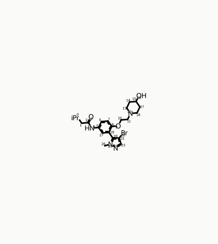 CC(C)CC(=O)Nc1ccc(OCCN2CCC(O)CC2)c(-c2c(Br)cnn2C)c1